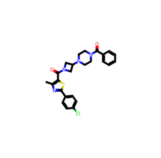 Cc1nc(-c2ccc(Cl)cc2)sc1C(=O)N1CC(N2CCN(C(=O)c3ccccc3)CC2)C1